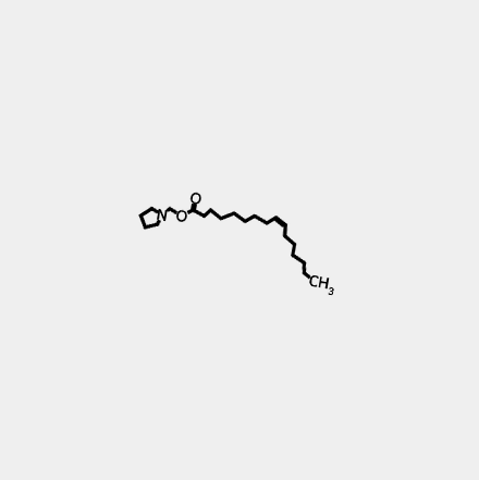 CCCCCC/C=C\CCCCCCCC(=O)OCN1CCCC1